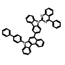 c1ccc(-c2ccc(-n3c4ccccc4c4c5ccccc5c(-c5ccc6c(c5)c5ccccc5n6-c5nc(-c6ccccc6)c6ccccc6n5)cc43)cc2)cc1